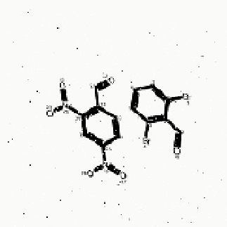 O=Cc1c(Br)cccc1Br.O=Cc1ccc([N+](=O)[O-])cc1[N+](=O)[O-]